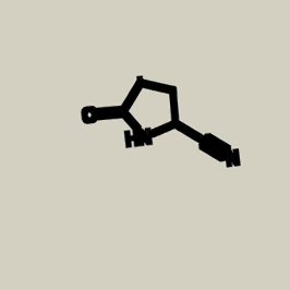 N#CC1C[CH]C(=O)N1